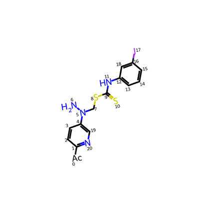 CC(=O)c1ccc(N(N)CSC(=S)Nc2cccc(I)c2)cn1